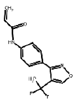 C=CC(=O)Nc1ccc(-c2nocc2C(F)(F)P)cc1